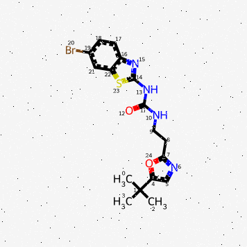 CC(C)(C)c1cnc(CCNC(=O)Nc2nc3ccc(Br)cc3s2)o1